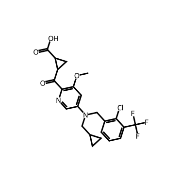 COc1cc(N(Cc2cccc(C(F)(F)F)c2Cl)CC2CC2)cnc1C(=O)C1CC1C(=O)O